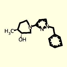 C[C@H]1CCN(c2ccn(Cc3ccccc3)n2)C[C@@H]1O